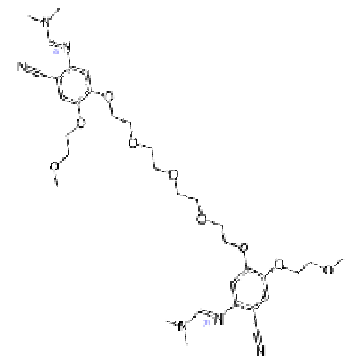 COCCOc1cc(C#N)c(/N=C/N(C)C)cc1OCCOCCOCCOCCOc1cc(/N=C/N(C)C)c(C#N)cc1OCCOC